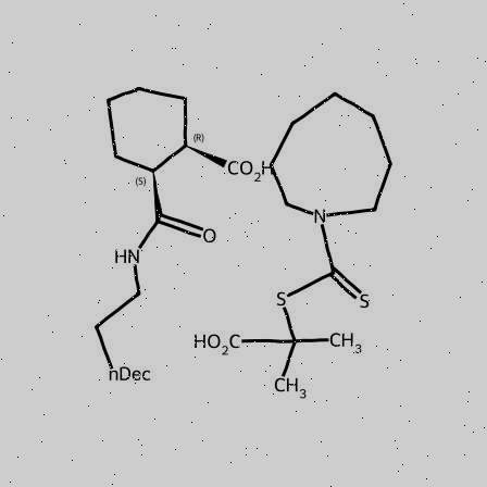 CC(C)(SC(=S)N1CCCCCCC1)C(=O)O.CCCCCCCCCCCCNC(=O)[C@H]1CCCC[C@H]1C(=O)O